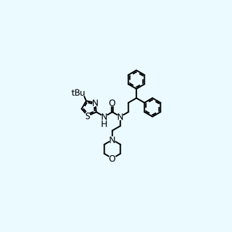 CC(C)(C)c1csc(NC(=O)N(CCC(c2ccccc2)c2ccccc2)CCN2CCOCC2)n1